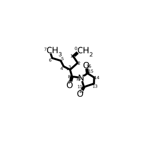 C=CC[C](CCCC)C(=O)N1C(=O)CCC1=O